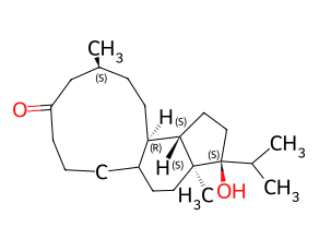 CC(C)[C@@]1(O)CC[C@H]2[C@@H]3CC[C@H](C)CC(=O)CCCC3CC[C@@]21C